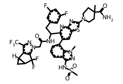 Cn1nc(NS(C)(=O)=O)c2cccc(-c3cc4sc(N5CCC(C)(C(N)=O)CC5)nc4nc3C(Cc3cc(F)cc(F)c3)NC(=O)Cn3nc(C(F)(F)F)c4c3C(F)(F)C3C[C@H]43)c21